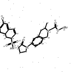 CC1Cc2cc(N3CC[C@H](NS(=O)(=O)C4C=CC5=CC(Cl)=CCC5C4)C3=O)ccc2CN1C(=O)OC(C)(C)C